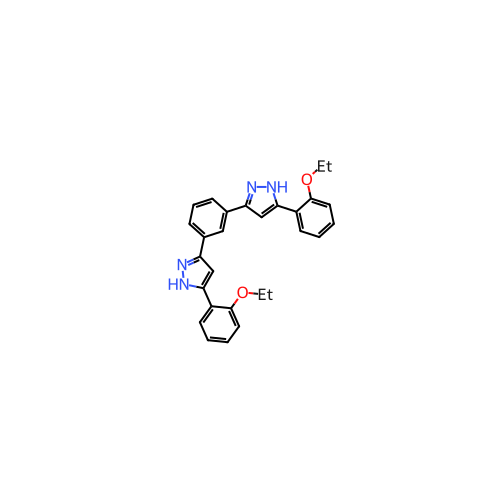 CCOc1ccccc1-c1cc(-c2cccc(-c3cc(-c4ccccc4OCC)[nH]n3)c2)n[nH]1